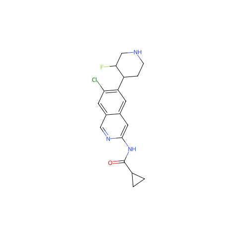 O=C(Nc1cc2cc(C3CCNCC3F)c(Cl)cc2cn1)C1CC1